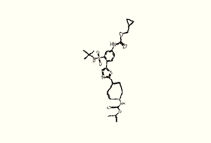 CC(C)OC(=O)NC1CCC(c2ncc(-c3ccc(NC(=O)OCC4CC4)cc3S(=O)(=O)NC(C)(C)C)s2)CC1